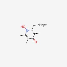 CCCCCCCCc1c(C)c(=O)c(C)c(C)n1O